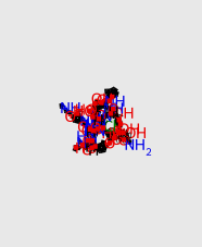 CCNCCOc1ccc(NC(=O)NC(=O)C[C@@H]2NC(=O)[C@H](NC(=O)[C@@H](CC(C)C)NC)[C@H](O)c3ccc(c(C)c3)Oc3cc4cc(c3O[C@@H]3O[C@H](CN)[C@@H](O)[C@H](O)[C@H]3O)Oc3ccc(cc3Cl)[C@@H](O)[C@@H]3NC(=O)[C@H](NC(=O)C4NC2=O)c2ccc(O)c(c2)-c2c(O)cc(O)cc2[C@@H](C(=O)NC2C4CC5CC(C4)CC2C5)NC3=O)cc1